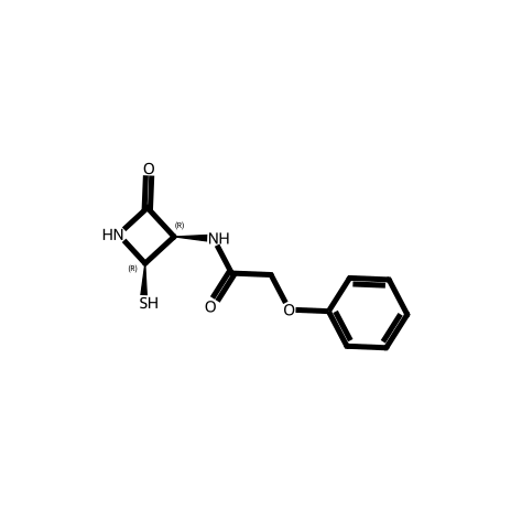 O=C(COc1ccccc1)N[C@@H]1C(=O)N[C@@H]1S